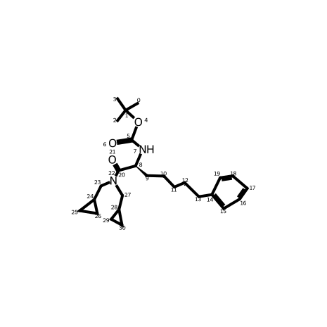 CC(C)(C)OC(=O)N[C@@H](CCC[CH]Cc1ccccc1)C(=O)N(CC1CC1)CC1CC1